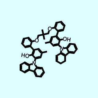 Cc1cc(-c2ccccc2OCC(C)(C)COc2ccccc2-c2cc(C)cc(-n3c4ccccc4c4ccccc43)c2O)c(O)c(-n2c3c(c4ccccc42)CCC=C3)c1